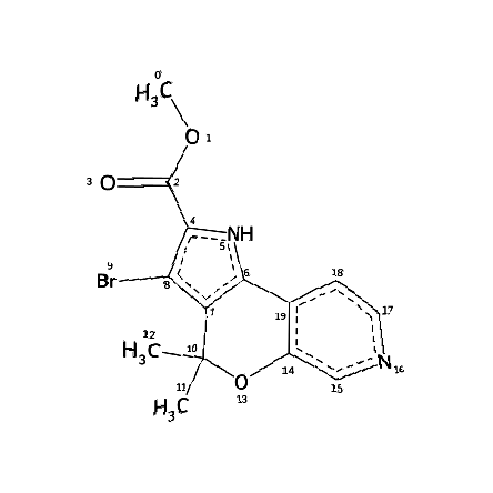 COC(=O)c1[nH]c2c(c1Br)C(C)(C)Oc1cnccc1-2